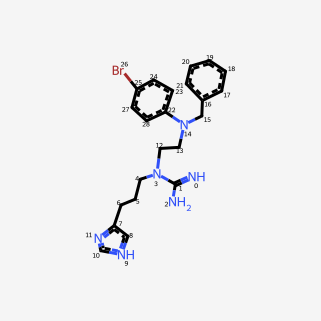 N=C(N)N(CCCc1c[nH]cn1)CCN(Cc1ccccc1)c1ccc(Br)cc1